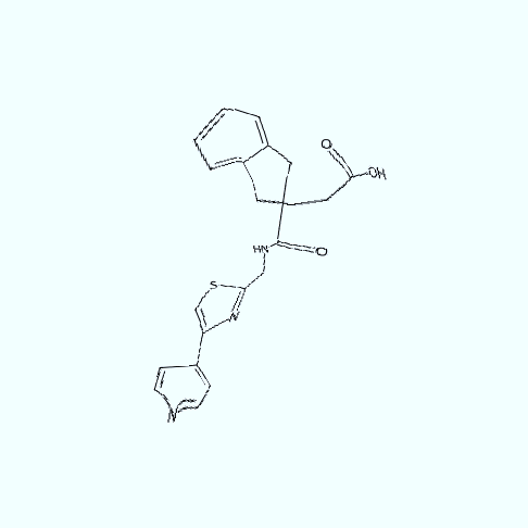 O=C(O)CC1(C(=O)NCc2nc(-c3ccncc3)cs2)Cc2ccccc2C1